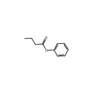 CC[CH]C(=O)Oc1ccccc1